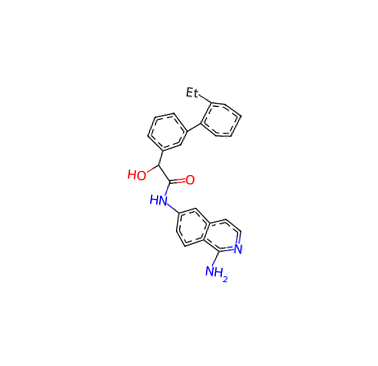 CCc1ccccc1-c1cccc(C(O)C(=O)Nc2ccc3c(N)nccc3c2)c1